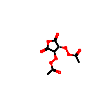 CC(=O)OO[C@H]1C(=O)OC(=O)[C@@H]1OOC(C)=O